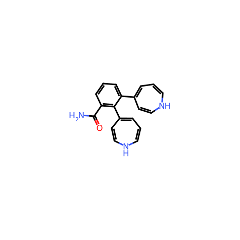 NC(=O)c1cccc(C2=CC=CNC=C2)c1C1=CC=CNC=C1